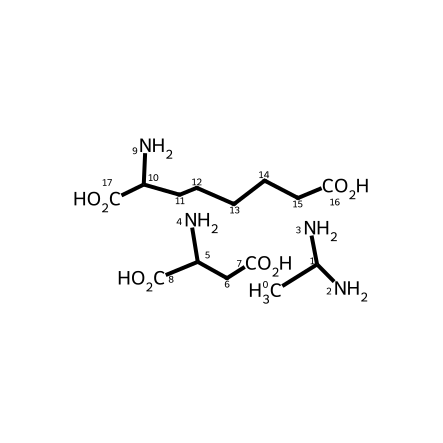 CC(N)N.NC(CC(=O)O)C(=O)O.NC(CCCCCC(=O)O)C(=O)O